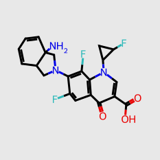 NC12C=CC=CC1CN(c1c(F)cc3c(=O)c(C(=O)O)cn(C4CC4F)c3c1F)C2